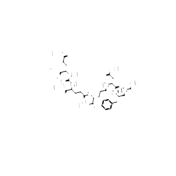 CC(C)NC(=O)[C@H](Cc1ccccc1)NC(=O)[C@H](CC(=O)O)NC(=O)CC[C@H](NC(=O)CCC(NC(=O)N[C@@H](CCC(=O)O)C(=O)O)C(=O)O)C(=O)O